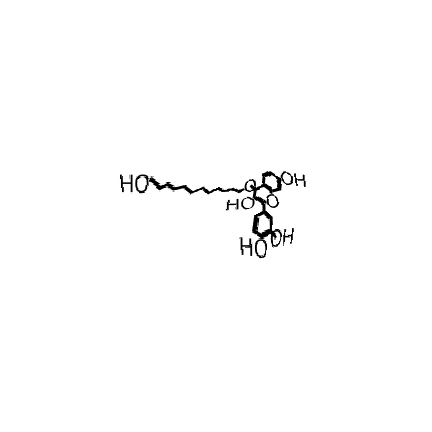 OCCCCCCCCCCCCOC1C(O)=C(c2ccc(O)c(O)c2)Oc2cc(O)ccc21